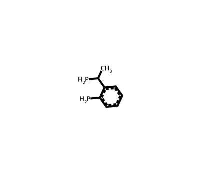 CC(P)c1ccccc1P